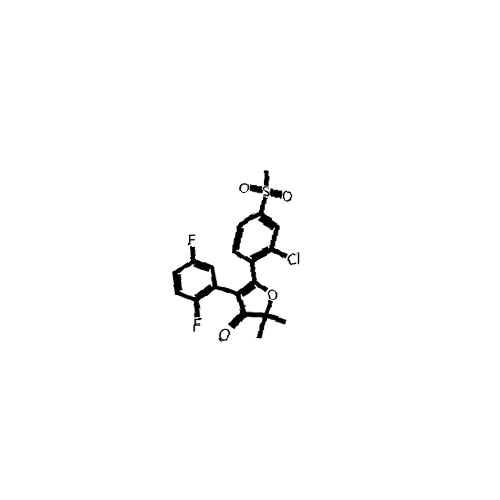 CC1(C)OC(c2ccc(S(C)(=O)=O)cc2Cl)=C(c2cc(F)ccc2F)C1=O